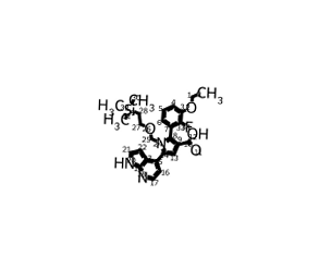 CCOc1cccc(-c2c(C(=O)O)cc(-c3ccnc4[nH]ccc34)n2COCC[Si](C)(C)C)c1F